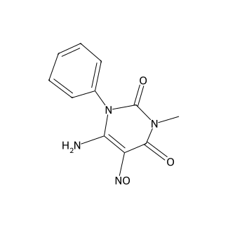 Cn1c(=O)c(N=O)c(N)n(-c2ccccc2)c1=O